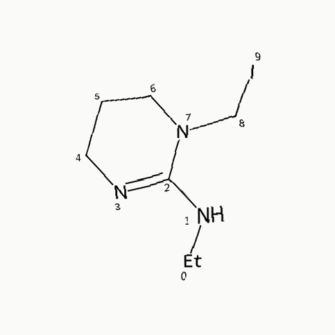 CCNC1=NCCCN1CI